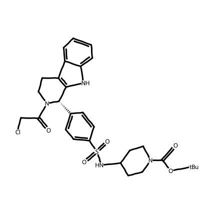 CC(C)(C)OC(=O)N1CCC(NS(=O)(=O)c2ccc([C@H]3c4[nH]c5ccccc5c4CCN3C(=O)CCl)cc2)CC1